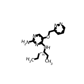 CCC[C@@H](CC)Nc1nc(N)ncc1OCc1cccnn1